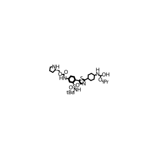 CC(C)OC(O)NC1CCC(c2ncc(-c3ccc(NC(=O)OC[C@H]4CCCN4)cc3S(=O)(=O)NC(C)(C)C)s2)CC1